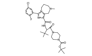 CN1CCCn2c(-c3cc(Cl)ccc3F)nc(C(=O)NC(C(=O)N3CCN(C(=O)OC(C)(C)C)CC3)C(C)(C)C)c2C1